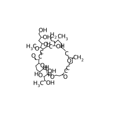 C=C1CC2CCC(=O)CCO[C@H]3[C@@H](O)[C@H]4OC(CC[C@@H]4O[C@H]3[C@H](C)O)[C@@H](C=O)CCC3[C@@H](OC)C(C[C@H](O)CO)O[C@H]3CC3O[C@@H](CCC1O2)C[C@@H](C)C3=C